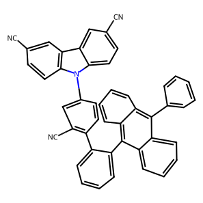 N#Cc1ccc2c(c1)c1cc(C#N)ccc1n2-c1ccc(-c2ccccc2-c2c3ccccc3c(-c3ccccc3)c3ccccc23)c(C#N)c1